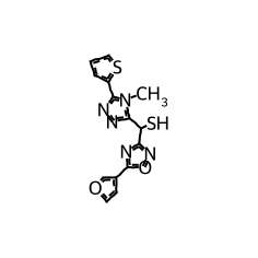 Cn1c(-c2cccs2)nnc1C(S)c1noc(-c2ccoc2)n1